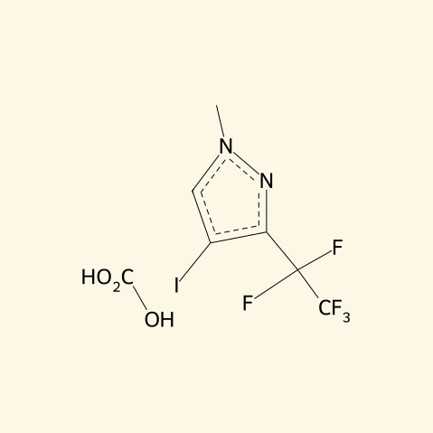 Cn1cc(I)c(C(F)(F)C(F)(F)F)n1.O=C(O)O